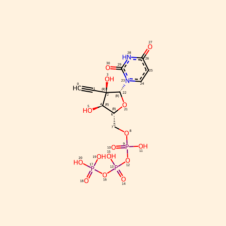 C#C[C@@]1(O)[C@H](O)[C@@H](COP(=O)(O)OP(=O)(O)OP(=O)(O)O)O[C@H]1n1ccc(=O)[nH]c1=O